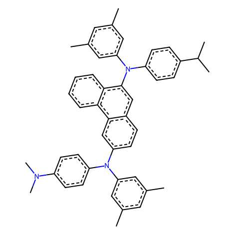 Cc1cc(C)cc(N(c2ccc(N(C)C)cc2)c2ccc3cc(N(c4ccc(C(C)C)cc4)c4cc(C)cc(C)c4)c4ccccc4c3c2)c1